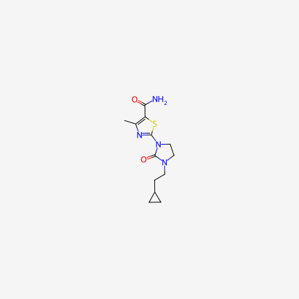 Cc1nc(N2CCN(CCC3CC3)C2=O)sc1C(N)=O